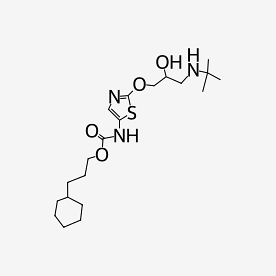 CC(C)(C)NCC(O)COc1ncc(NC(=O)OCCCC2CCCCC2)s1